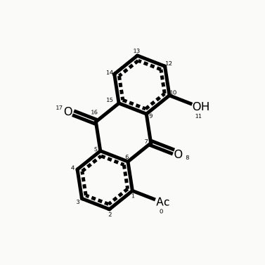 CC(=O)c1cccc2c1C(=O)c1c(O)cccc1C2=O